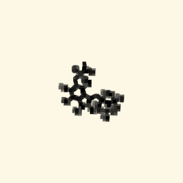 [2H]c1c(CS(=O)(=O)N([2H])C)c([2H])c2c(CC([2H])([2H])N(C([2H])([2H])[2H])C([2H])([2H])[2H])c([2H])n([2H])c2c1[2H]